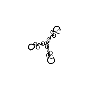 CC(COCCC(=O)OC1CCCCCCCCC1)(COCCC(=O)OC1CCCCCCC1)COCCC(=O)OC1CCCCCCC1